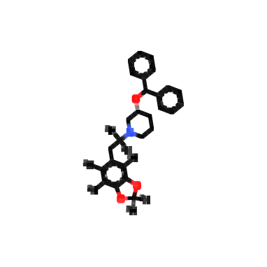 [2H]c1c([2H])c2c(c([2H])c1CC([2H])([2H])N1CCC[C@@H](OC(c3ccccc3)c3ccccc3)C1)OC([2H])([2H])O2